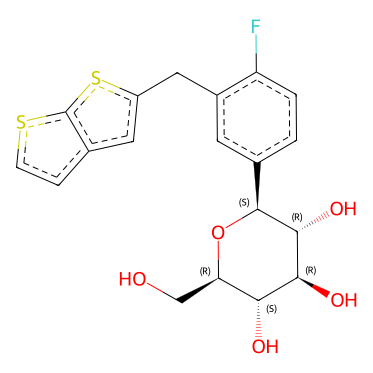 OC[C@H]1O[C@@H](c2ccc(F)c(Cc3cc4ccsc4s3)c2)[C@H](O)[C@@H](O)[C@@H]1O